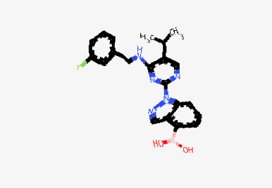 CC(C)c1cnc(-n2ncc3c(B(O)O)cccc32)nc1NCc1cccc(F)c1